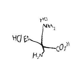 CCC(N)(N)C(=O)O.Cl.Cl